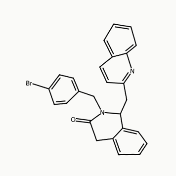 O=C1Cc2ccccc2C(Cc2ccc3ccccc3n2)N1Cc1ccc(Br)cc1